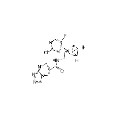 O=C(NCC[C@@]12C3[C@H]1[C@H]2CN3c1nc(Cl)ncc1F)c1cnc2nncn2c1